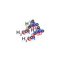 COc1ccc2c(Oc3ccc(NC(=O)c4c(C)n(Cc5ccccc5)n(-c5ccccc5)c4=O)cc3F)ccnc2c1.COc1ccc2c(Oc3ccc(NC(=O)c4c(C)n(Cc5ccccc5)n(-c5ccccc5)c4=O)nc3)ccnc2c1